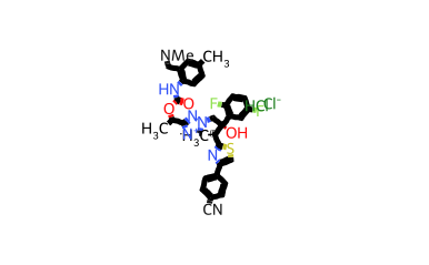 CNCc1cc(C)ccc1NC(=O)OC(C)C1=NN(C[C@](O)(c2cc(F)ccc2F)[C@@H](C)c2nc(-c3ccc(C#N)cc3)cs2)C=[N+]1.Cl.[Cl-]